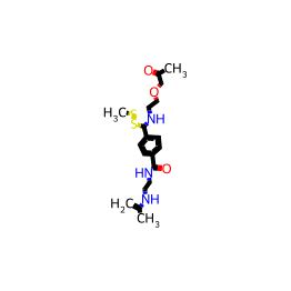 C=C(C)NCCNC(=O)c1ccc(C(NCCOCC(C)=O)SSC)cc1